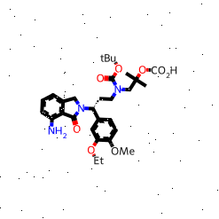 CCOc1cc([C@@H](CCN(CC(C)(C)OC(=O)O)C(=O)OC(C)(C)C)N2Cc3cccc(N)c3C2=O)ccc1OC